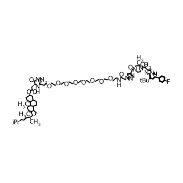 CC(C)CCC[C@@H](C)[C@H]1CCC2C3CCC4C[C@@H](OC(=O)C[C@H](NC(=O)CCOCCOCCOCCOCCOCCOCCOCCOCCNC(=O)Cn5cc(C(=O)N6CCN(C(=O)c7cn8nc(-c9ccc(F)cc9)cc(C(C)(C)C)c8n7)C(C)(C)C6)nn5)C(N)=O)CC[C@]4(C)C3CC[C@@]21C